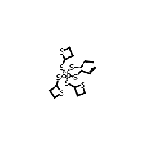 C=CC[S][Sb]([S]CC=C)([S]C1CCS1)([S]C1CCS1)[S]C1CCS1